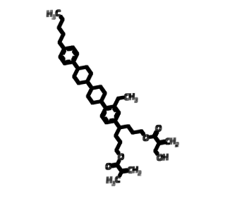 C=C(C)C(=O)OCCCC(CCCOC(=O)C(=C)CO)c1ccc(C2CCC(C3CCC(c4ccc(CCCCC)cc4)CC3)CC2)c(CC)c1